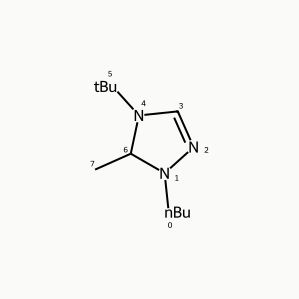 CCCCN1N=CN(C(C)(C)C)C1C